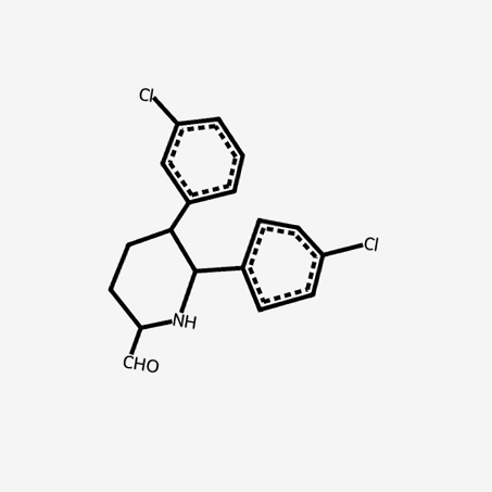 O=CC1CCC(c2cccc(Cl)c2)C(c2ccc(Cl)cc2)N1